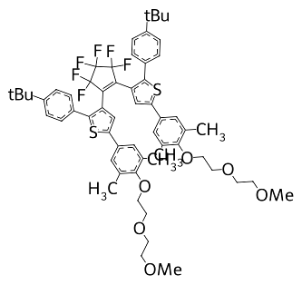 COCCOCCOc1c(C)cc(-c2cc(C3=C(c4cc(-c5cc(C)c(OCCOCCOC)c(C)c5)sc4-c4ccc(C(C)(C)C)cc4)C(F)(F)C(F)(F)C3(F)F)c(-c3ccc(C(C)(C)C)cc3)s2)cc1C